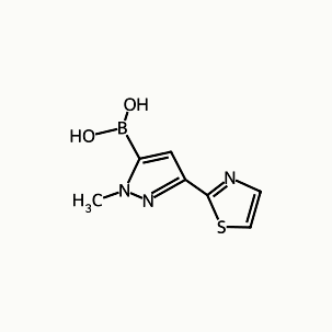 Cn1nc(-c2nccs2)cc1B(O)O